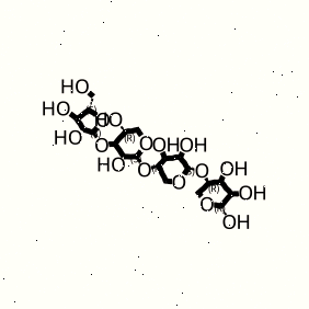 OC[C@@H]1O[C@@H](OC2C(O)[C@H](O[C@@H]3CO[C@@H](O[C@@H]4CO[C@@H](O)C(O)C4O)C(O)C3O)OC[C@H]2O)C(O)C1O